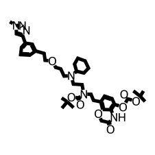 Cn1cc(-c2cccc(CCOCCCN(CCN(CCc3ccc(OC(=O)OC(C)(C)C)c4c3OCC(=O)N4)C(=O)OC(C)(C)C)C3CCCCC3)c2)nn1